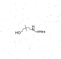 CCCCCCCNCCC(C)(C)CCO